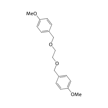 COc1ccc(COCCOCc2ccc(OC)cc2)cc1